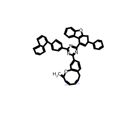 C=C1/C=C\C=C/Cc2ccc(-c3nc(C4=CC(c5ccccc5)Cc5oc6ccccc6c54)nc(-c4ccc(-c5cccc6ccccc56)cc4)n3)cc2O1